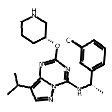 CC(C)c1cnn2c(N[C@@H](C)c3cccc(Cl)c3)nc(O[C@@H]3CCCNC3)nc12